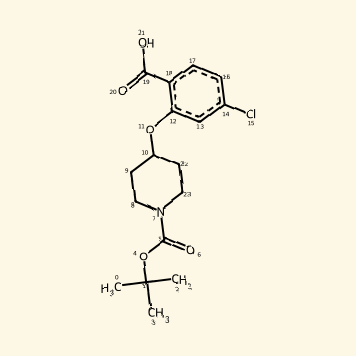 CC(C)(C)OC(=O)N1CCC(Oc2cc(Cl)ccc2C(=O)O)CC1